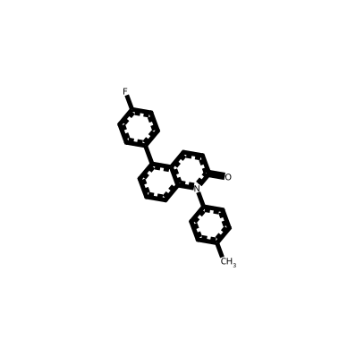 Cc1ccc(-n2c(=O)ccc3c(-c4ccc(F)cc4)cccc32)cc1